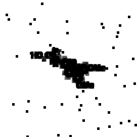 COc1ccc(C(NS(=O)(=O)c2ccc(-c3cn([C@H](C(=O)O)C(C)C)nn3)cc2)(c2ccccc2)c2ccc(OC)cc2)cc1